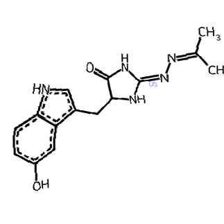 CC(C)=N/N=C1\NC(=O)C(Cc2c[nH]c3ccc(O)cc23)N1